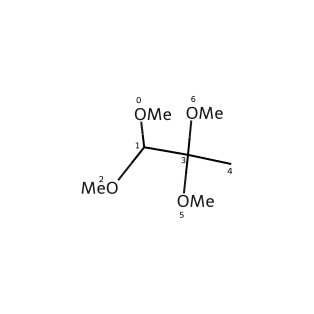 COC(OC)C(C)(OC)OC